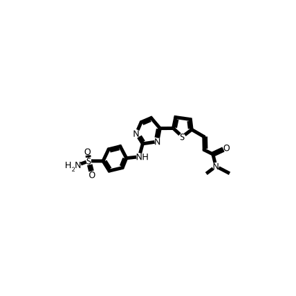 CN(C)C(=O)C=Cc1ccc(-c2ccnc(Nc3ccc(S(N)(=O)=O)cc3)n2)s1